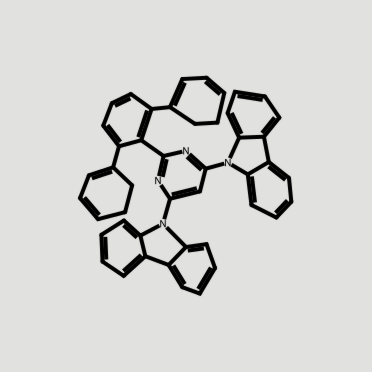 C1=CCCC(c2cccc(C3=CC=CCC3)c2-c2nc(-n3c4ccccc4c4ccccc43)cc(-n3c4ccccc4c4ccccc43)n2)=C1